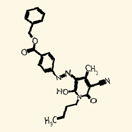 CCCCn1c(O)c(N=Nc2ccc(C(=O)OCc3ccccc3)cc2)c(C)c(C#N)c1=O